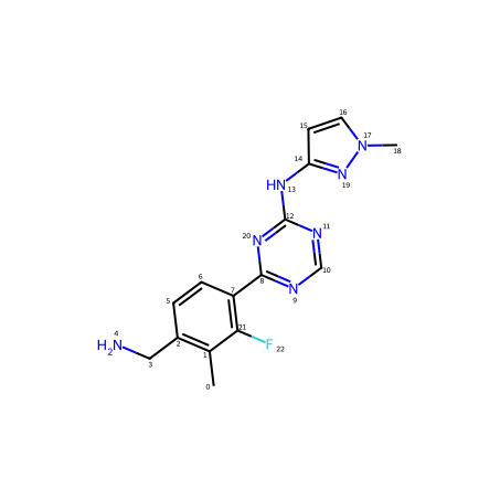 Cc1c(CN)ccc(-c2ncnc(Nc3ccn(C)n3)n2)c1F